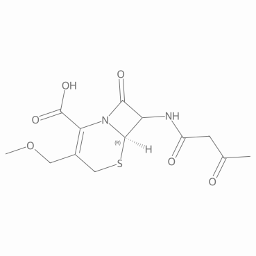 COCC1=C(C(=O)O)N2C(=O)C(NC(=O)CC(C)=O)[C@H]2SC1